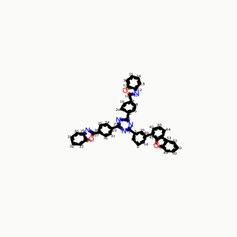 c1cc(-c2nc(-c3ccc(-c4nc5ccccc5o4)cc3)nc(-c3ccc(-c4nc5ccccc5o4)cc3)n2)cc(-c2cccc3c2oc2ccccc23)c1